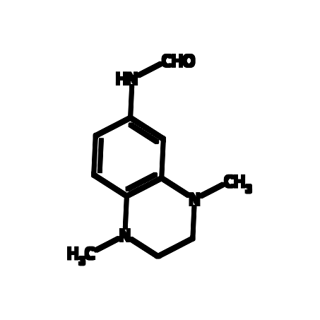 CN1CCN(C)c2cc(NC=O)ccc21